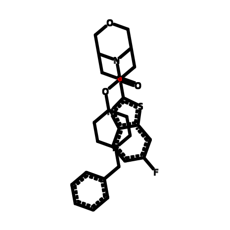 O=C(OC1CCN(Cc2ccccc2)CC1)N1C2COCC1CN(c1nc3ccc(F)cc3s1)C2